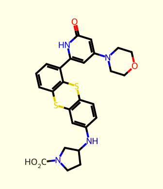 O=C(O)N1CCC(Nc2ccc3c(c2)Sc2cccc(-c4cc(N5CCOCC5)cc(=O)[nH]4)c2S3)C1